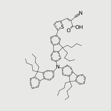 CCCCC1(CCCC)c2ccccc2-c2ccc(N(c3ccc4c(c3)C(CCCC)(CCCC)c3ccccc3-4)c3ccc4c(c3)C(CCCC)(CCCC)c3cc(-c5ccc(C=C(C#N)C(=O)O)s5)ccc3-4)cc21